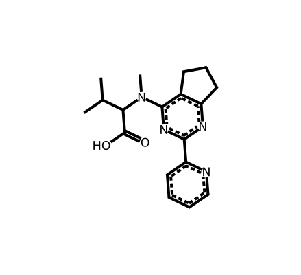 CC(C)C(C(=O)O)N(C)c1nc(-c2ccccn2)nc2c1CCC2